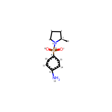 C[C@@H]1CCCN1S(=O)(=O)c1ccc(N)cc1